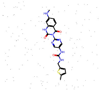 CNc1ccc2c(=O)n(-c3ncc(NC(=O)NCc4ccc(C)s4)cn3)c(=O)[nH]c2c1